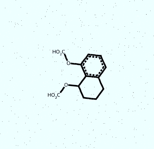 O=C(O)Oc1cccc2c1C(OC(=O)O)CCC2